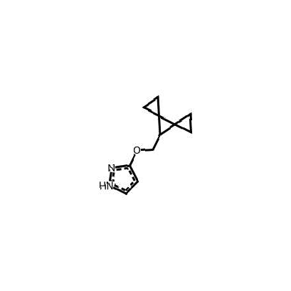 c1cc(OCC2C3(CC3)C23CC3)n[nH]1